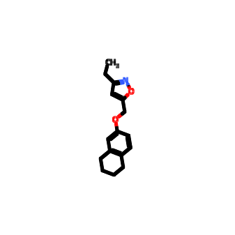 CCc1cc(COc2ccc3c(c2)CCCC3)on1